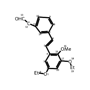 CCOc1cc(C=Cc2cccc(CC=O)c2)c(OC)c(OCC)c1